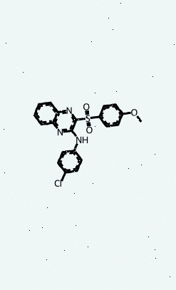 COc1ccc(S(=O)(=O)c2nc3ccccc3nc2Nc2ccc(Cl)cc2)cc1